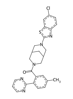 Cc1ccc(-c2ncccn2)c(C(=O)N2CC3CC(C2)CN(c2nc4ccc(Cl)cc4s2)C3)c1